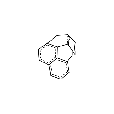 O=C1c2c3ccc4cccc(c24)N1CCC3